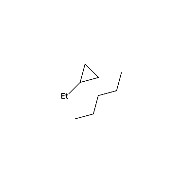 CCC1CC1.CCCCC